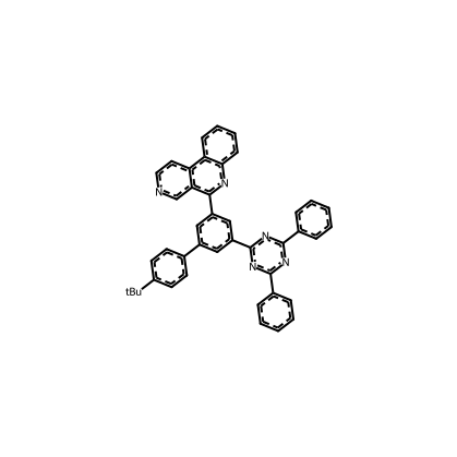 CC(C)(C)c1ccc(-c2cc(-c3nc(-c4ccccc4)nc(-c4ccccc4)n3)cc(-c3nc4ccccc4c4ccncc34)c2)cc1